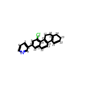 Clc1cc(-c2cccnc2)cc2ccc3c(c12)CCC1=C3C=CCC1